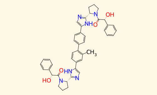 Cc1cc(-c2cnc([C@@H]3CCCN3C(=O)[C@H](O)c3ccccc3)[nH]2)ccc1-c1ccc(-c2cnc([C@@H]3CCCN3C(=O)[C@H](O)c3ccccc3)[nH]2)cc1